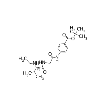 CCN[C@H](C(=O)NCC(=O)Nc1ccc(C(=O)OC(C)(C)C)cc1)C(C)C